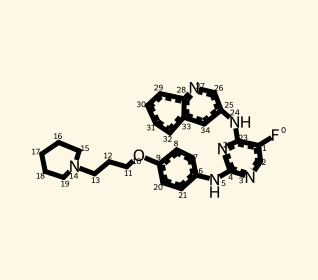 Fc1cnc(Nc2ccc(OCCCN3CCCCC3)cc2)nc1Nc1cnc2ccccc2c1